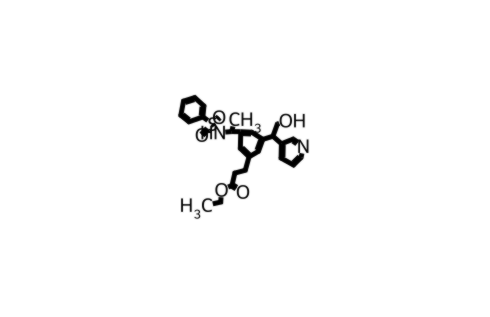 CCOC(=O)CCc1cc(C(C)NS(=O)(=O)c2ccccc2)cc(C(CO)c2cccnc2)c1